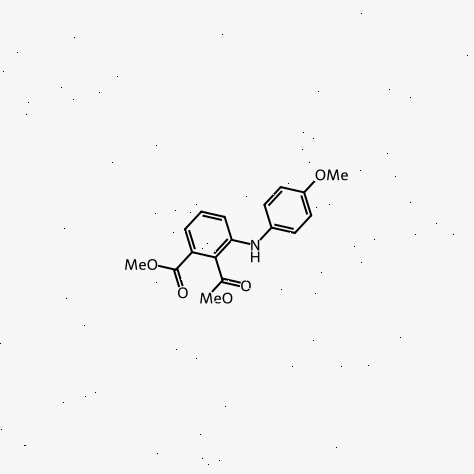 COC(=O)c1cccc(Nc2ccc(OC)cc2)c1C(=O)OC